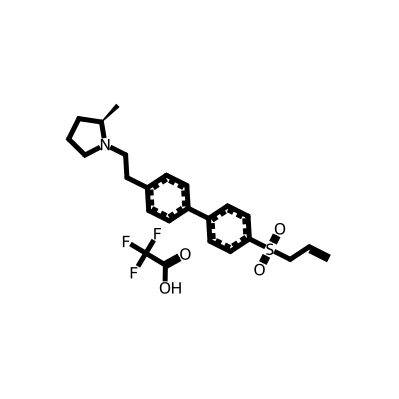 C=CCS(=O)(=O)c1ccc(-c2ccc(CCN3CCC[C@H]3C)cc2)cc1.O=C(O)C(F)(F)F